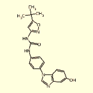 CC(C)(C)c1cc(NC(=O)Nc2ccc(-n3cnc4cc(O)ccc43)cc2)no1